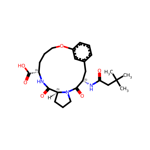 CC(C)(C)CC(=O)N[C@H]1Cc2cccc(c2)OCCC[C@@H](C(=O)O)NC(=O)[C@@H]2CCCN2C1=O